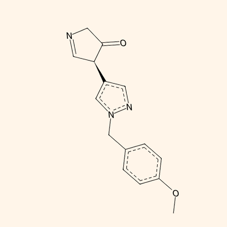 COc1ccc(Cn2cc([C@H]3C=NCC3=O)cn2)cc1